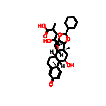 CC(CC(O)C(=O)[C@@]12O[C@H](C3CCCCC3)OC1C[C@H]1[C@@H]3CCC4=CC(=O)C=C[C@]4(C)[C@H]3[C@@H](O)C[C@@]12C)C(=O)O